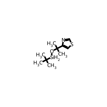 CC(C)(C)[SiH2]OC(C)(C)c1cscn1